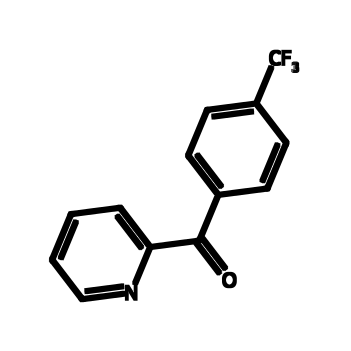 O=C(c1ccc(C(F)(F)F)cc1)c1ccccn1